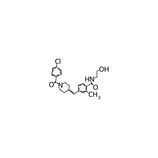 Cc1cc(C=C2CCN(C(=O)c3ccc(Cl)cc3)CC2)ccc1C(=O)NCCO